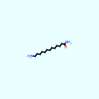 NCCCCCCCCCCCCC(N)=O